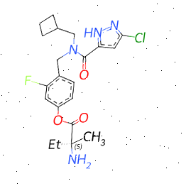 CC[C@](C)(N)C(=O)Oc1ccc(CN(CC2CCC2)C(=O)c2cc(Cl)n[nH]2)c(F)c1